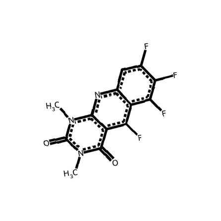 Cn1c(=O)c2c(F)c3c(F)c(F)c(F)cc3nc2n(C)c1=O